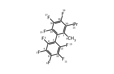 Cc1c(-c2c(F)c(F)c(F)c(F)c2F)c(F)c(F)c(F)c1C(C)C